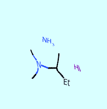 CCC(C)N(C)C.I.N